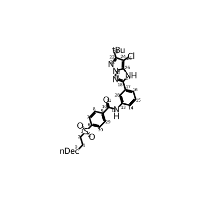 CCCCCCCCCCCCS(=O)(=O)c1ccc(C(=O)Nc2cccc(-c3nn4nc(C(C)(C)C)c(Cl)c4[nH]3)c2)cc1